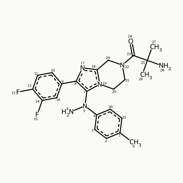 Cc1ccc(N(N)c2c(-c3ccc(F)c(F)c3)nc3n2CCN(C(=O)C(C)(C)N)C3)cc1